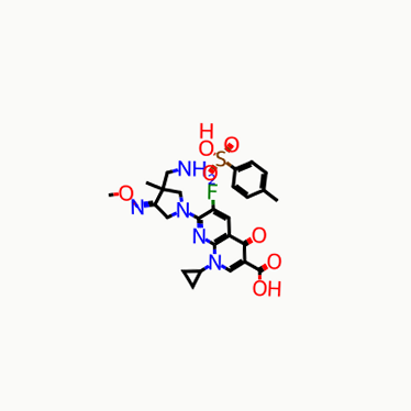 CON=C1CN(c2nc3c(cc2F)c(=O)c(C(=O)O)cn3C2CC2)CC1(C)CN.Cc1ccc(S(=O)(=O)O)cc1